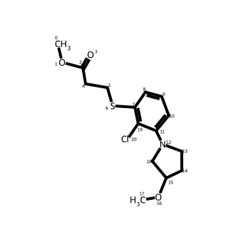 COC(=O)CCSc1cccc(N2CCC(OC)C2)c1Cl